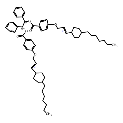 CCCCCCCC1CCC(/C=C/COc2ccc(C(=O)O[C@H](c3ccccc3)[C@H](OC(=O)c3ccc(OC/C=C/C4CCC(CCCCCCC)CC4)cc3)c3ccccc3)cc2)CC1